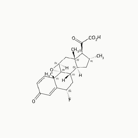 C[C@@H]1C[C@H]2[C@@H]3C[C@H](F)C4=CC(=O)C=C[C@]4(C)[C@]34O[C@H]4C[C@]2(C)[C@H]1C(=O)C(=O)O